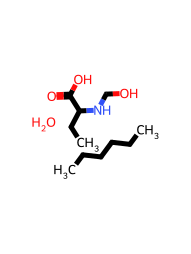 CCC(NCO)C(=O)O.CCCCCC.O